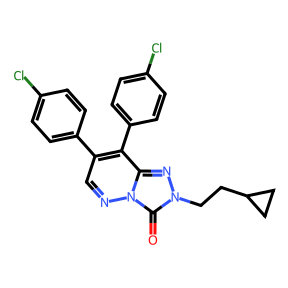 O=c1n(CCC2CC2)nc2c(-c3ccc(Cl)cc3)c(-c3ccc(Cl)cc3)cnn12